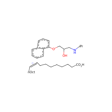 CC(C)NCC(O)COc1cccc2ccccc12.CCCCCCCC/C=C\CCCCCCCC(=O)O